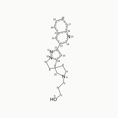 OCCCN1CCC2(CCn3nc(-c4cnc5ccccc5c4)cc32)C1